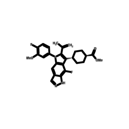 C=C(C)c1c([C@H]2CC[C@H](C(=O)OC)CC2)c2c(F)c3[nH]ncc3cc2n1-c1ccc(F)c(OC)c1